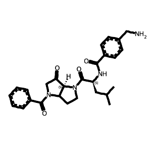 CC(C)C[C@H](NC(=O)c1ccc(CN)cc1)C(=O)N1CCC2[C@H]1C(=O)CN2C(=O)c1ccccc1